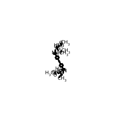 CCCN(Cc1ncc(-c2ccc(C#Cc3ccc(-c4cnc(CN(CSC(C)C)C(=O)CNC(=O)OC)[nH]4)cc3)cc2)[nH]1)C(=O)CNC(=O)OC